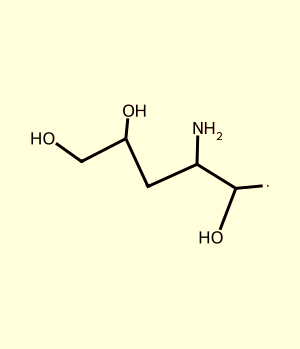 [CH2]C(O)C(N)CC(O)CO